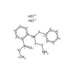 COC(=O)c1ccccc1N(CCN)Cc1ccccc1.Cl.Cl